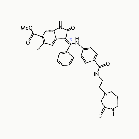 COC(=O)c1cc2c(cc1C)/C(=C(/Nc1ccc(C(=O)NCCN3CCCNC(=O)C3)cc1)c1ccccc1)C(=O)N2